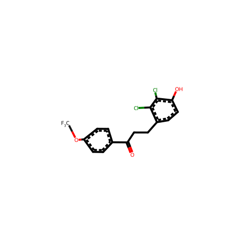 O=C(CCc1ccc(O)c(Cl)c1Cl)c1ccc(OC(F)(F)F)cc1